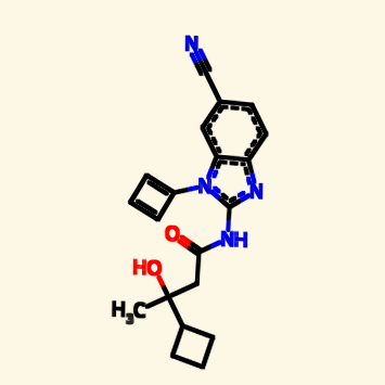 CC(O)(CC(=O)Nc1nc2ccc(C#N)cc2n1C1=CC=C1)C1CCC1